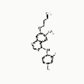 C=CCCOc1cc2ncnc(Nc3ccc(Br)cc3F)c2cc1[N+](=O)[O-]